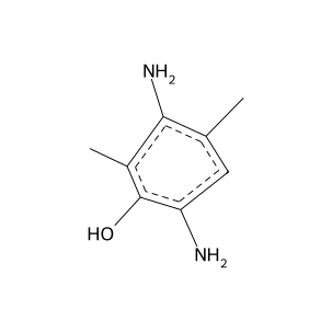 Cc1cc(N)c(O)c(C)c1N